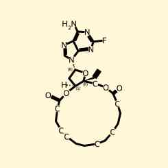 C#C[C@@]12COC(=O)CCCCCCCCCCCCC(=O)O[C@H]1C[C@H](n1cnc3c(N)nc(F)nc31)O2